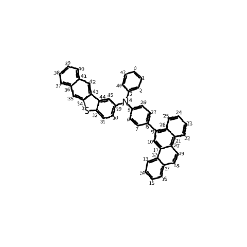 c1ccc(N(c2ccc(-c3cc4c5ccccc5ccc4c4ccccc34)cc2)c2ccc3sc4cc5ccccc5cc4c3c2)cc1